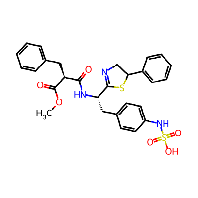 COC(=O)[C@@H](Cc1ccccc1)C(=O)N[C@@H](Cc1ccc(NS(=O)(=O)O)cc1)C1=NCC(c2ccccc2)S1